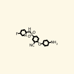 N#Cc1cc(S(=O)(=O)Nc2ccc(F)cn2)ccc1Oc1ccc(N)cc1